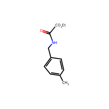 CCOC(=O)C(=O)NCc1ccc(C)cc1